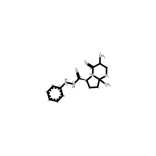 CC1COC2(C)CC[C@@H](C(=O)NNc3ccccc3)N2C1=O